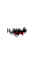 CCC(C)(C)n1ncc(C(=O)NCC#CC2(N[C@@H]3CCN(C)C[C@@H]3F)C=CC=C3C(CC(CF)(CF)CF)=CNN32)c1N